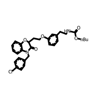 CCCCOC(=O)NCCc1cccc(OCCC2Oc3ccccc3N(Cc3ccc(Cl)cc3)C2=O)c1